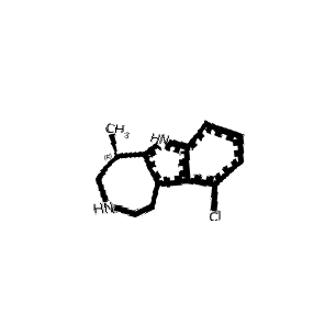 C[C@@H]1CNCCc2c1[nH]c1cccc(Cl)c21